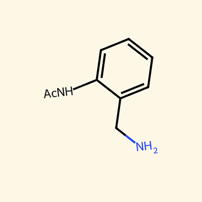 [CH2]C(=O)Nc1ccccc1CN